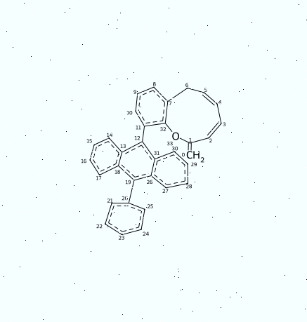 C=C1/C=C\C=C/Cc2cccc(-c3c4ccccc4c(-c4ccccc4)c4ccccc34)c2O1